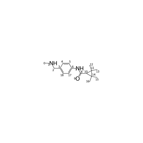 CNCc1ccc(NC(=O)C2C(C)(C)C2(C)C)cc1